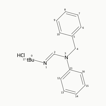 CC(C)(C)/N=C/N(Cc1ccccc1)c1ccccc1.Cl